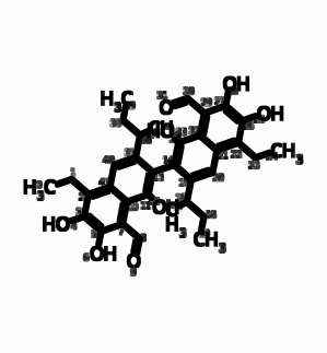 CCc1c(O)c(O)c(C=O)c2c(O)c(-c3c(C(C)CC)cc4c(CC)c(O)c(O)c(C=O)c4c3O)c(C(C)CC)cc12